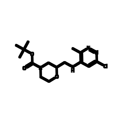 Cc1nnc(Cl)cc1NCC1CN(C(=O)OC(C)(C)C)CCO1